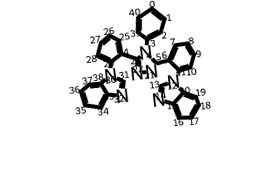 c1ccc(-n2c(-c3ccccc3-n3cnc4ccccc43)nnc2-c2ccccc2-n2cnc3ccccc32)cc1